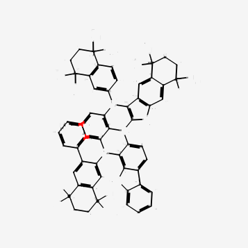 Cc1cc2c3c(c1)N(c1cc4c(cc1-c1ccccc1)C(C)(C)CCC4(C)C)c1c(ccc4c1oc1ccccc14)B3c1oc3cc4c(cc3c1N2c1ccc2c(c1)C(C)(C)CCC2(C)C)C(C)(C)CCC4(C)C